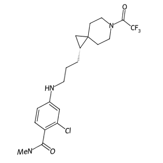 CNC(=O)c1ccc(NCCC[C@@H]2CC23CCN(C(=O)C(F)(F)F)CC3)cc1Cl